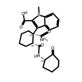 Cn1c(C(=O)O)c([C@]2(C(N)=O)CCCC[C@H]2C(=O)N[C@H]2CCCCC2=O)c2ccccc21